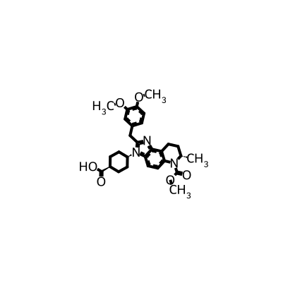 COC(=O)N1c2ccc3c(nc(Cc4ccc(OC)c(OC)c4)n3[C@H]3CC[C@H](C(=O)O)CC3)c2CC[C@@H]1C